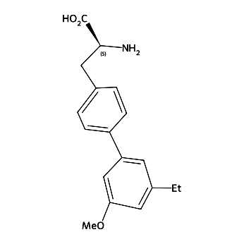 CCc1cc(OC)cc(-c2ccc(C[C@H](N)C(=O)O)cc2)c1